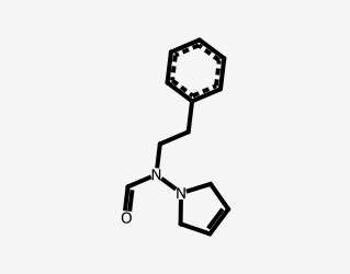 O=CN(CCc1ccccc1)N1CC=CC1